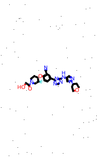 N#Cc1cc(-c2ncnc(Nc3cnn(C4CCOCC4)c3)n2)ccc1OC1CCN(C(=O)CO)CC1F